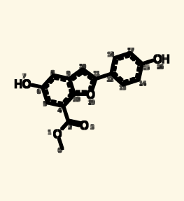 COC(=O)c1cc(O)cc2cc(-c3ccc(O)cc3)oc12